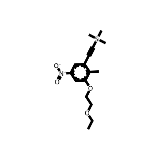 CCOCCOc1cc([N+](=O)[O-])cc(C#C[Si](C)(C)C)c1C